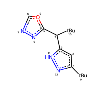 CC(C)(C)c1cc(C(c2nnco2)C(C)(C)C)[nH]n1